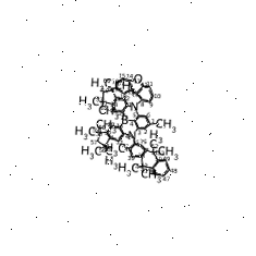 Cc1cc2c3c(c1)N(c1cccc4oc5ccccc5c14)c1cc4c(cc1B3c1cc3c(cc1N2c1cc2c(cc1C)C(C)(C)c1ccccc1C2(C)C)C(C)(C)CC3(C)C)C(C)(C)CC4(C)C